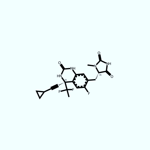 CN1C(=O)NC(=O)[C@@H]1Cc1cc2c(cc1F)[C@@](C#CC1CC1)(C(C)(F)F)NC(=O)N2